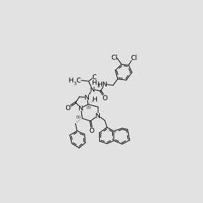 CC(C)N(C(=O)NCc1ccc(Cl)c(Cl)c1)N1CC(=O)N2[C@@H](Cc3ccccc3)C(=O)N(Cc3cccc4ccccc34)C[C@@H]21